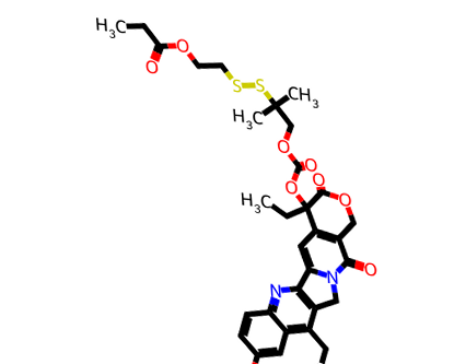 CCC(=O)OCCSSC(C)(C)COC(=O)OC1(CC)C(=O)OCc2c1cc1n(c2=O)Cc2c-1nc1ccc(O)cc1c2CC